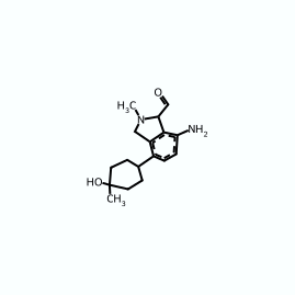 CN1Cc2c(C3CCC(C)(O)CC3)ccc(N)c2C1C=O